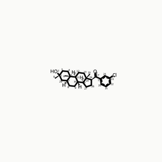 C[C@@]1(O)CC[C@@]2(C)[C@@H](CC[C@@H]3[C@@H]2CC[C@]2(C)[C@@H](C(=O)c4cccc(Cl)c4)CC[C@@H]32)C1